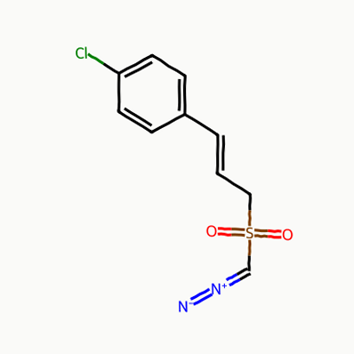 [N-]=[N+]=CS(=O)(=O)CC=Cc1ccc(Cl)cc1